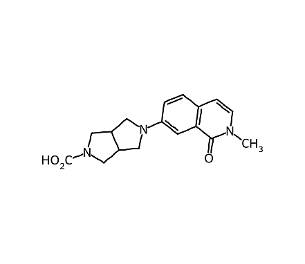 Cn1ccc2ccc(N3CC4CN(C(=O)O)CC4C3)cc2c1=O